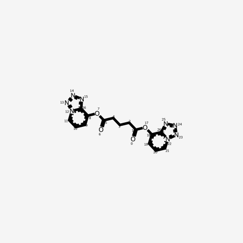 O=C(CCCC(=O)Oc1cccn2nnnc12)Oc1cccn2nnnc12